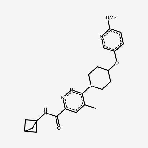 COc1ccc(OC2CCN(c3nnc(C(=O)NC45CC(C4)C5)cc3C)CC2)cn1